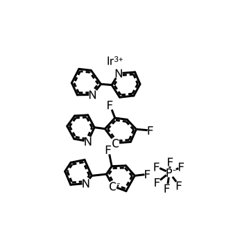 F[P-](F)(F)(F)(F)F.Fc1c[c-]c(-c2ccccn2)c(F)c1.Fc1c[c-]c(-c2ccccn2)c(F)c1.[Ir+3].c1ccc(-c2ccccn2)nc1